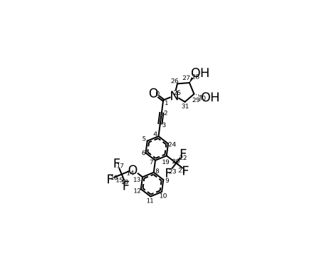 O=C(C#Cc1ccc(-c2ccccc2OC(F)(F)F)c(C(F)(F)F)c1)N1C[C@@H](O)[C@H](O)C1